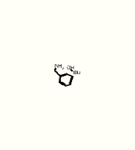 CC(C)(C)O.NCc1ccccc1